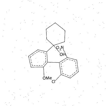 COc1cccc(C2(O)CCCCC2)c1-c1c(Cl)cccc1[N+](=O)[O-]